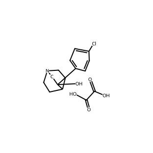 O=C(O)C(=O)O.OC1(c2ccc(Cl)cc2)CN2CCC1CC2